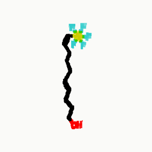 OCCCCCCCC/C=C\S(F)(F)(F)(F)F